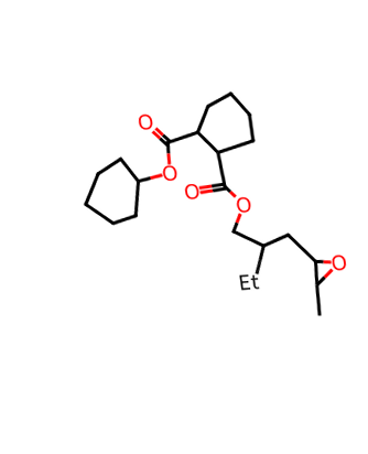 CCC(COC(=O)C1CCCCC1C(=O)OC1CCCCC1)CC1OC1C